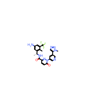 Cc1c([C@@H](C)NC(=O)c2ccc(=O)n(-c3cncc(-c4cnnn4C)c3)n2)cc(N)cc1C(F)(F)F